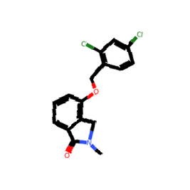 CN1Cc2c(OCc3ccc(Cl)cc3Cl)cccc2C1=O